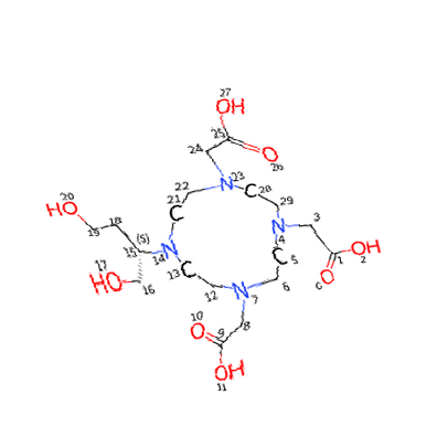 O=C(O)CN1CCN(CC(=O)O)CCN([C@H](CO)CCO)CCN(CC(=O)O)CC1